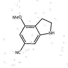 COc1cc(C#N)cc2c1CCN2